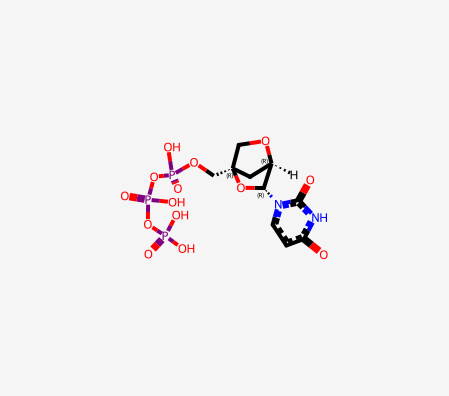 O=c1ccn([C@@H]2O[C@@]3(COP(=O)(O)OP(=O)(O)OP(=O)(O)O)CO[C@@H]2C3)c(=O)[nH]1